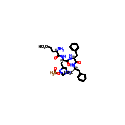 N[C@@H](CCC(=O)O)C(=O)N[C@@H](Cc1c[nH]cn1)C(=O)N[C@@H](Cc1ccccc1)C(=O)N[C@H](Cc1ccccc1)C(=O)O.O=[SH2]=O